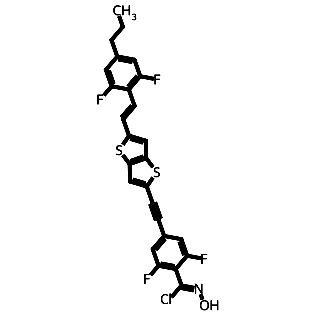 CCCc1cc(F)c(/C=C/c2cc3sc(C#Cc4cc(F)c(/C(Cl)=N/O)c(F)c4)cc3s2)c(F)c1